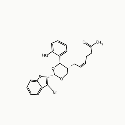 CC(=O)CC/C=C\C[C@@H]1CO[C@H](c2sc3ccccc3c2Br)O[C@@H]1c1ccccc1O